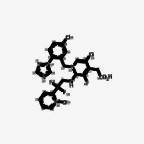 O=C(O)CC1=C(F)C(NCC(F)(F)c2cccc[n+]2[O-])N(Cc2cc(Cl)ccc2-n2cncn2)C=C1Cl